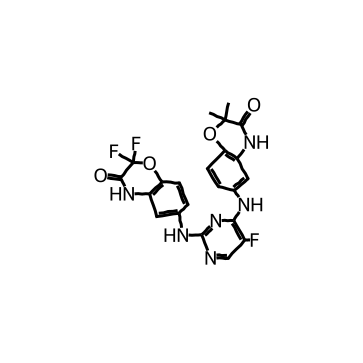 CC1(C)Oc2ccc(Nc3nc(Nc4ccc5c(c4)NC(=O)C(F)(F)O5)ncc3F)cc2NC1=O